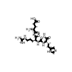 N=C(N)NCCC[C@H](NC(=O)N[C@@H](CCc1cnc[nH]1)C(=O)O)c1nc([C@@H](N)CCC(=O)O)no1